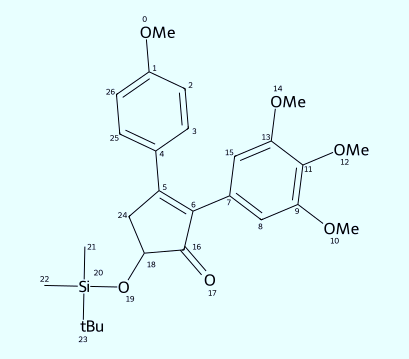 COc1ccc(C2=C(c3cc(OC)c(OC)c(OC)c3)C(=O)C(O[Si](C)(C)C(C)(C)C)C2)cc1